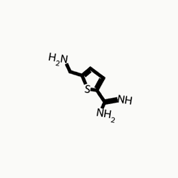 N=C(N)c1ccc(CN)s1